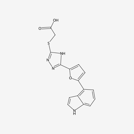 O=C(O)CSc1nnc(-c2ccc(-c3cccc4[nH]ccc34)o2)[nH]1